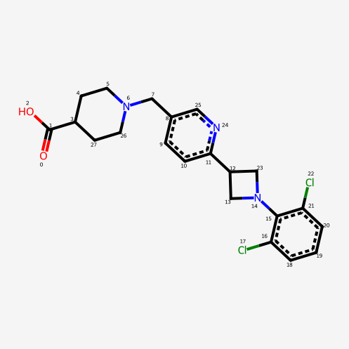 O=C(O)C1CCN(Cc2ccc(C3CN(c4c(Cl)cccc4Cl)C3)nc2)CC1